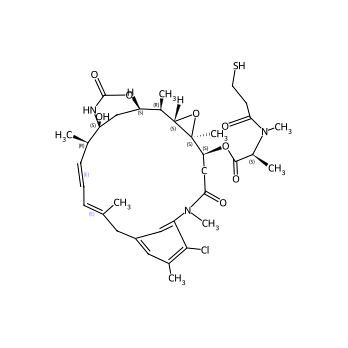 C/C1=C\C=C\[C@@H](C)[C@@]2(O)C[C@H](OC(=O)N2)[C@@H](C)[C@@H]2O[C@@]2(C)[C@@H](OC(=O)[C@H](C)N(C)C(=O)CCS)CC(=O)N(C)c2cc(cc(C)c2Cl)C1